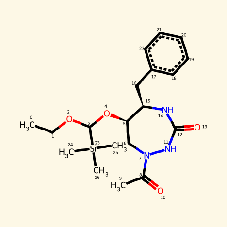 CCOC(O[C@@H]1CN(C(C)=O)NC(=O)N[C@@H]1Cc1ccccc1)[Si](C)(C)C